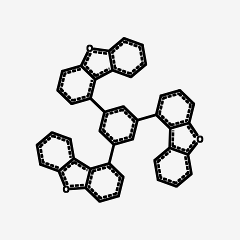 c1ccc2c(c1)oc1cccc(-c3cc(-c4cccc5oc6ccccc6c45)cc(-c4cccc5oc6ccccc6c45)c3)c12